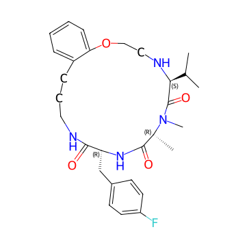 CC(C)[C@@H]1NCCOc2ccccc2CCCNC(=O)[C@@H](Cc2ccc(F)cc2)NC(=O)[C@@H](C)N(C)C1=O